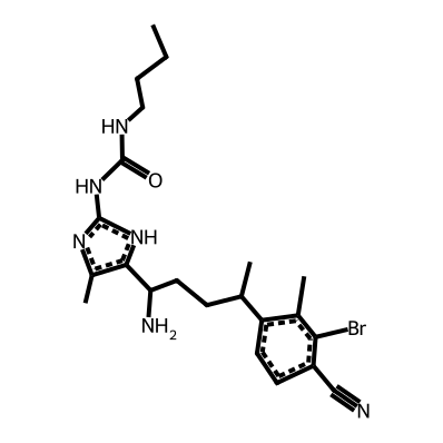 CCCCNC(=O)Nc1nc(C)c(C(N)CCC(C)c2ccc(C#N)c(Br)c2C)[nH]1